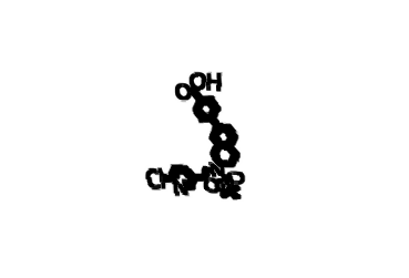 CC(C)(C)OC(=O)N(C[C@H](O)c1ccc(Cl)nc1)[C@H]1CCc2ccc(-c3ccc(C(=O)O)cc3)cc2C1